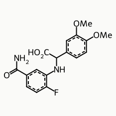 COc1ccc(C(Nc2cc(C(N)=O)ccc2F)C(=O)O)cc1OC